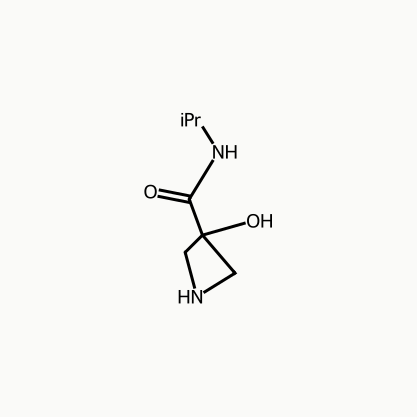 CC(C)NC(=O)C1(O)CNC1